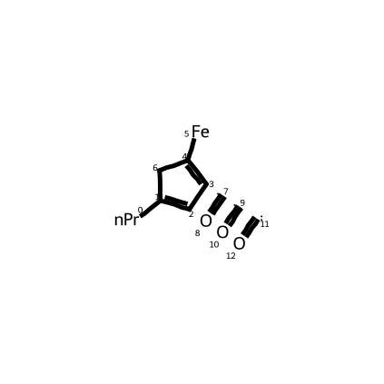 CCCC1=CC=[C]([Fe])C1.[C]=O.[C]=O.[C]=O